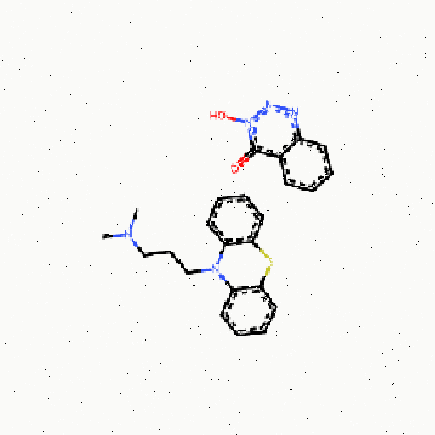 CN(C)CCCN1c2ccccc2Sc2ccccc21.O=c1c2ccccc2nnn1O